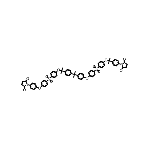 CC(C)(Oc1ccc(S(=O)(=O)c2ccc(Oc3ccc(C(C)(C)c4ccc(C(C)(C)Oc5ccc(S(=O)(=O)c6ccc(Oc7ccc(N8C(=O)C=CC8=O)cc7)cc6)cc5)cc4)cc3)cc2)cc1)c1ccc(N2C(=O)C=CC2=O)cc1